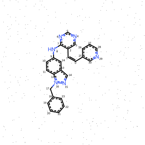 C(=Cc1cncnc1Nc1ccc2c(cnn2Cc2ccccc2)c1)c1cccnc1